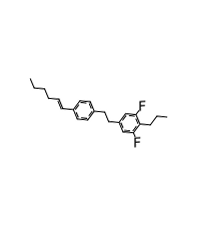 CCCCC=Cc1ccc(CCc2cc(F)c(CCC)c(F)c2)cc1